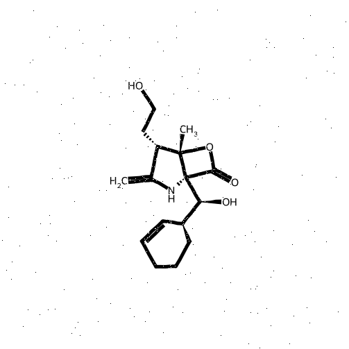 C=C1N[C@@]2([C@@H](O)[C@@H]3C=CCCC3)C(=O)O[C@@]2(C)[C@H]1CCO